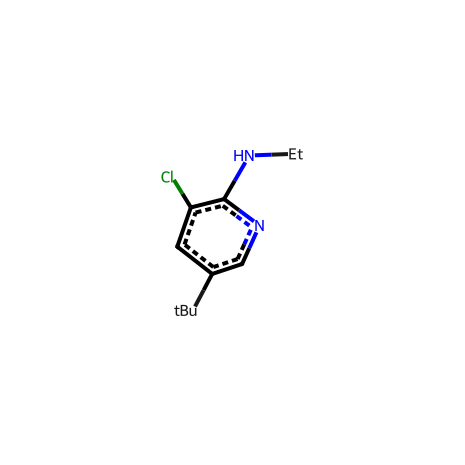 CCNc1ncc(C(C)(C)C)cc1Cl